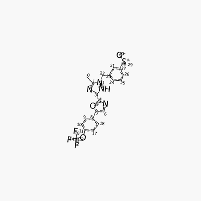 CC1=NC(c2ncc(-c3ccc(OC(F)(F)F)cc3)o2)NN1Cc1cccc([S+](C)[O-])c1